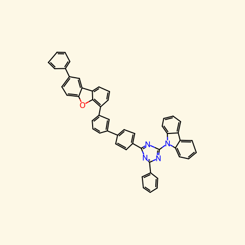 c1ccc(-c2ccc3oc4c(-c5cccc(-c6ccc(-c7nc(-c8ccccc8)nc(-n8c9ccccc9c9ccccc98)n7)cc6)c5)cccc4c3c2)cc1